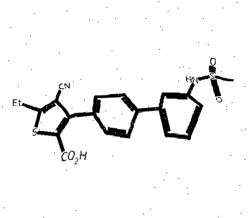 CCc1sc(C(=O)O)c(-c2ccc(-c3cccc(NS(C)(=O)=O)c3)cc2)c1C#N